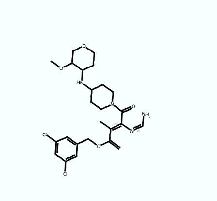 C=C(OCc1cc(Cl)cc(Cl)c1)/C(C)=C(\N=C/N)C(=O)N1CCC(NC2CCOCC2OC)CC1